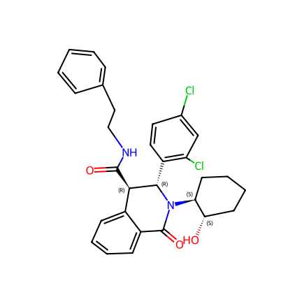 O=C(NCCc1ccccc1)[C@@H]1c2ccccc2C(=O)N([C@H]2CCCC[C@@H]2O)[C@H]1c1ccc(Cl)cc1Cl